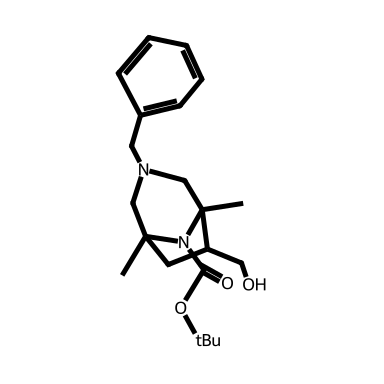 CC(C)(C)OC(=O)N1C2(C)CC(CO)C1(C)CN(Cc1ccccc1)C2